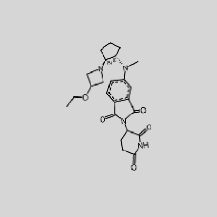 CCOC1CN([C@H]2CCC[C@@H]2N(C)c2ccc3c(c2)C(=O)N(C2CCC(=O)NC2=O)C3=O)C1